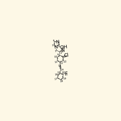 O/N=C(\Cn1ccnc1)c1ccc(C#Cc2ccccc2F)cc1Cl